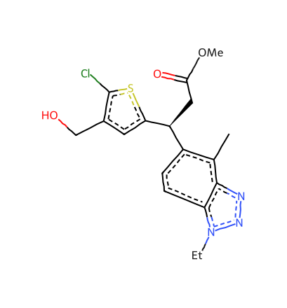 CCn1nnc2c(C)c([C@H](CC(=O)OC)c3cc(CO)c(Cl)s3)ccc21